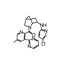 Cc1cnc(C(=O)N2CC3CC34CC(Nc3ccc(Cl)cn3)C24)c(-c2ncccn2)c1